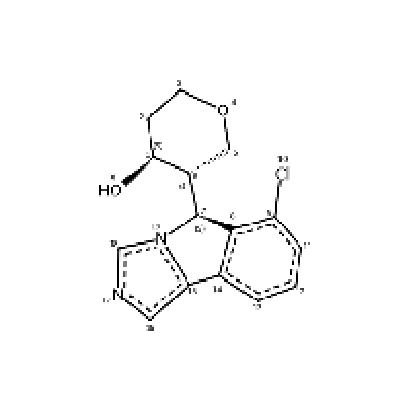 O[C@H]1CCOC[C@@H]1[C@H]1c2c(Cl)cccc2-c2cncn21